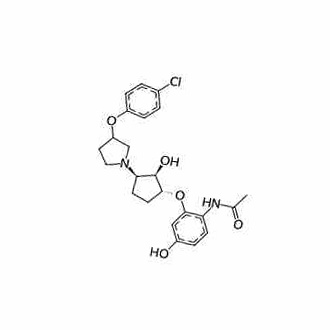 CC(=O)Nc1ccc(O)cc1O[C@@H]1CC[C@@H](N2CCC(Oc3ccc(Cl)cc3)C2)[C@H]1O